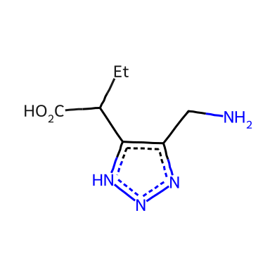 CCC(C(=O)O)c1[nH]nnc1CN